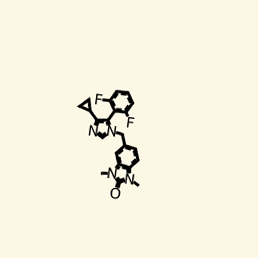 Cn1c(=O)n(C)c2cc(Cn3cnc(C4CC4)c3-c3c(F)cccc3F)ccc21